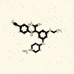 CCOc1cc(OC2CCNCC2)cc(C(Nc2ccc(C#N)cc2)C(=O)O)c1.Cl